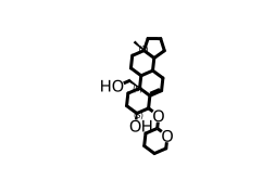 C[C@@]12CCCC1C1CC=C3C(OC4CCCCO4)[C@@H](O)CC[C@]3(CO)C1CC2